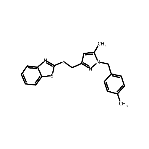 Cc1ccc(Cn2nc(CSc3nc4ccccc4s3)cc2C)cc1